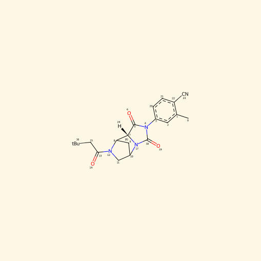 Cc1cc(N2C(=O)[C@H]3C4CC(CN4C(=O)CC(C)(C)C)N3C2=O)ccc1C#N